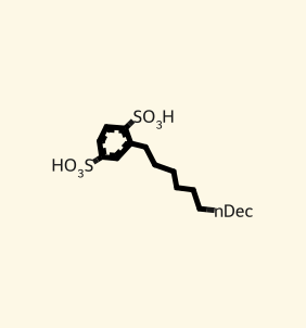 CCCCCCCCCCCCCCCCc1cc(S(=O)(=O)O)ccc1S(=O)(=O)O